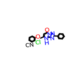 N#Cc1cccc(OCc2cc(=O)n3nc(-c4ccccc4)nc3[nH]2)c1Cl